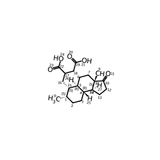 C[C@H]1CC[C@@H]2[C@H](CC[C@]3(C)C(=O)CC[C@@H]23)[C@H]1CC(CC(=O)O)C(=O)O